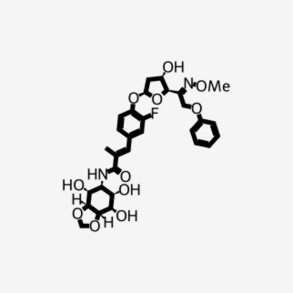 CON=C(COc1ccccc1)[C@H]1O[C@@H](Oc2ccc(/C=C(\C)C(=O)N[C@@H]3[C@H](O)[C@@H](O)[C@H]4OCO[C@H]4[C@@H]3O)cc2F)C[C@@H]1O